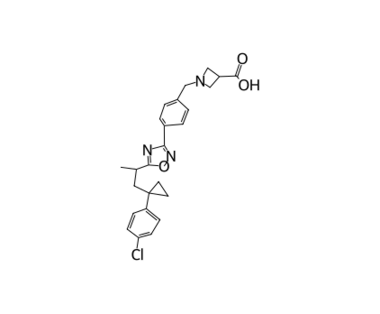 CC(CC1(c2ccc(Cl)cc2)CC1)c1nc(-c2ccc(CN3CC(C(=O)O)C3)cc2)no1